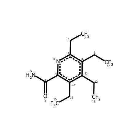 NC(=O)c1nc(CC(F)(F)F)c(CC(F)(F)F)c(CC(F)(F)F)c1CC(F)(F)F